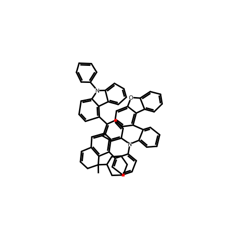 CC1(C2CCCCC2)CC=Cc2cccc(-c3ccccc3N(c3ccc(-c4cccc5c4c4ccccc4n5-c4ccccc4)cc3)c3ccccc3-c3cccc4oc5ccccc5c34)c21